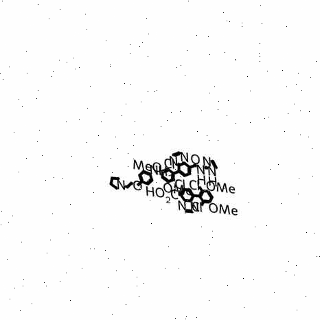 COc1cc(OC)c(Cl)c(-c2ccc(C(=O)Nc3ncc[nH]3)c3nccnc23)c1Cl.COc1cc(OC)c(Cl)c(-c2ccc(C(=O)O)c3nccnc23)c1Cl.Nc1ccc(OCCN2CCCC2)cc1